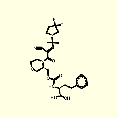 CC(C)(C=C(C#N)C(=O)N1CCOC[C@@H]1COC(=O)N[C@@H](CCc1ccccc1)B(O)O)N1CCC(F)(F)C1